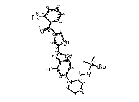 CC(C)(C)[Si](C)(C)OC[C@@H]1COCCN1c1cc(F)c2nc(-c3cc(C(=O)c4ccccc4C(F)(F)F)c[nH]3)[nH]c2c1